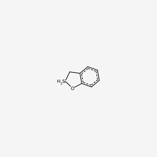 c1ccc2c(c1)C[SiH2]O2